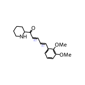 COc1cccc(/C=C/C=C/C(=O)C2CCCCN2)c1OC